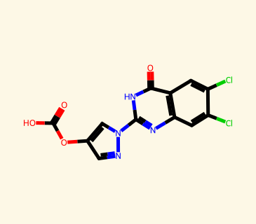 O=C(O)Oc1cnn(-c2nc3cc(Cl)c(Cl)cc3c(=O)[nH]2)c1